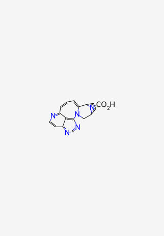 O=C(O)n1c2ccc1C1=CC=Cc3nccc4ncnc(c34)N1C2